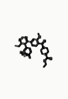 C=C(N)/C=C\C(=C/N)c1c(CC)ncnc1-c1ccc(C(=O)N2CCN(C(=O)OCC)CC2)c(OC)c1